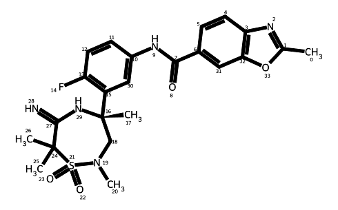 Cc1nc2ccc(C(=O)Nc3ccc(F)c([C@]4(C)CN(C)S(=O)(=O)C(C)(C)C(=N)N4)c3)cc2o1